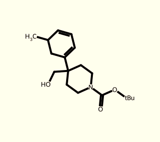 CC1C=CC=C(C2(CO)CCN(C(=O)OC(C)(C)C)CC2)C1